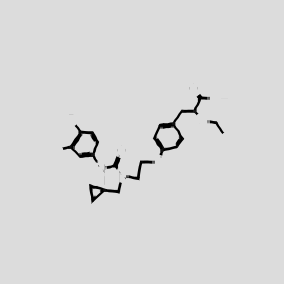 CCOC(Cc1ccc(OCCN(CC2CC2)C(=O)Nc2ccc(F)c(F)c2)cc1)C(=O)O